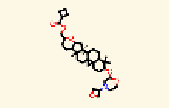 CC1(C)C(OC2CN(C3COC3)CCO2)CCC23CC24CCC2(C)C5CCC(COC(=O)C6CCC6)OC5C[C@@]2(C)C4CCC13